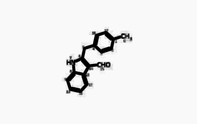 Cc1ccc(Cc2[nH]c3ccccc3c2C=O)cc1